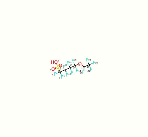 O=S(=O)(O)C(F)(F)C(F)(F)C(F)(F)C(F)(F)OC(F)C(F)(F)F